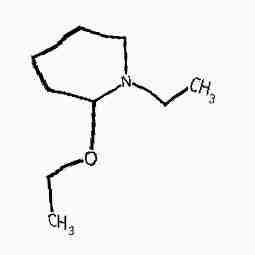 CCOC1CCCCN1CC